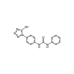 O=C(Nc1ccccc1)Nc1ccc(-n2nnnc2S)cc1